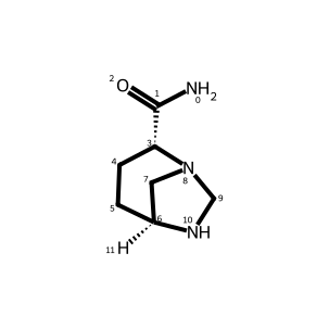 NC(=O)[C@H]1CC[C@H]2CN1CN2